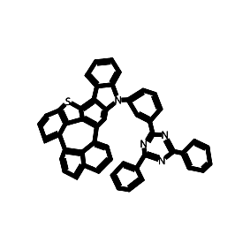 c1ccc(-c2nc(-c3ccccc3)nc(-c3cccc(-n4c5ccccc5c5c6sc7cccc8c7c6c(cc54)-c4cccc5cccc-8c45)c3)n2)cc1